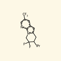 CC(C)C1Cc2cc3cc(C(F)(F)F)cnc3n2CC1(F)F